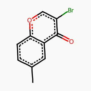 Cc1ccc2occ(Br)c(=O)c2c1